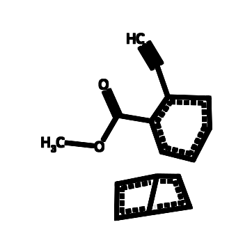 C#Cc1ccccc1C(=O)OC.c1cc2ccc1-2